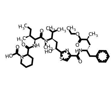 CCOC(=O)[C@@H](C)C[C@H](Cc1ccccc1)NC(=O)c1csc([C@H](O)C[C@H](C(C)C)N(C)C(=O)[C@@H](NC(=O)C2CCCCN2C(=O)O)[C@@H](C)CC)n1